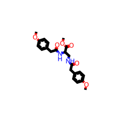 COC(=O)C(CNC(=O)Cc1ccc(OC)cc1)NC(=O)Cc1ccc(OC)cc1